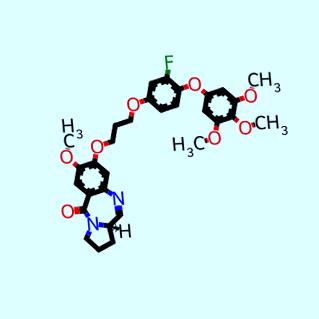 COc1cc2c(cc1OCCCOc1ccc(Oc3cc(OC)c(OC)c(OC)c3)c(F)c1)N=C[C@@H]1CCCN1C2=O